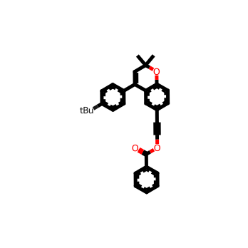 CC1(C)C=C(c2ccc(C(C)(C)C)cc2)c2cc(C#COC(=O)c3ccccc3)ccc2O1